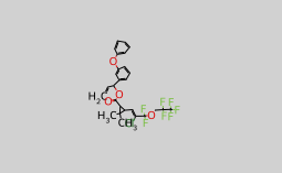 C=CC(OC(=O)C1C(C=C(Cl)C(F)(F)OCC(F)(F)C(F)(F)F)C1(C)C)c1cccc(Oc2ccccc2)c1